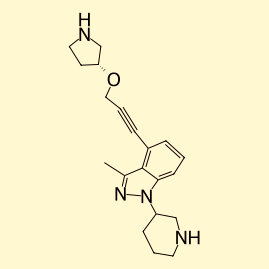 Cc1nn(C2CCCNC2)c2cccc(C#CCO[C@@H]3CCNC3)c12